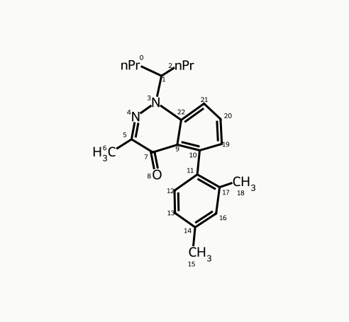 CCCC(CCC)n1nc(C)c(=O)c2c(-c3ccc(C)cc3C)cccc21